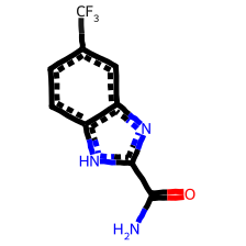 NC(=O)c1nc2cc(C(F)(F)F)ccc2[nH]1